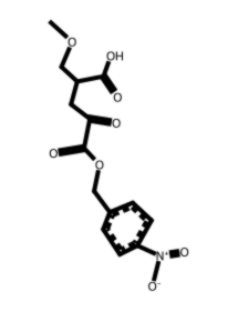 COCC(CC(=O)C(=O)OCc1ccc([N+](=O)[O-])cc1)C(=O)O